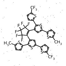 Cc1ccc(-c2cc(C3=C(c4cc(-c5ccc(C(F)(F)F)s5)sc4-c4ccc(C)s4)C(F)(F)C(F)(F)C3(F)F)c(-c3ccc(C(F)(F)F)s3)s2)s1